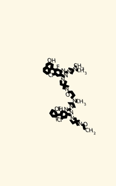 C=CC(=O)N1CC2(CCN(c3nc(N4CC(N(C)C/C=C\C(=O)N5CC6(CCN(c7nc(N8CC(N(C)C)C8)nc8c(F)c(-c9cc(O)cc%10ccccc9%10)c(Cl)cc78)C6)C5)C4)nc4c(F)c(-c5c(O)cccc5F)c(Cl)cc34)C2)C1